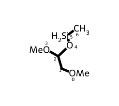 COCC(OC)O[SiH2]C